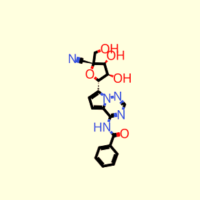 N#C[C@]1(CO)O[C@@H](c2ccc3c(NC(=O)c4ccccc4)ncnn23)[C@H](O)[C@@H]1O